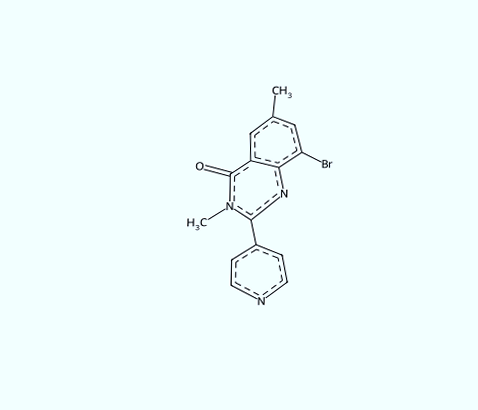 Cc1cc(Br)c2nc(-c3ccncc3)n(C)c(=O)c2c1